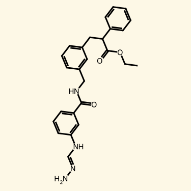 CCOC(=O)C(Cc1cccc(CNC(=O)c2cccc(NC=NN)c2)c1)c1ccccc1